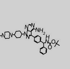 CN1CCN(C2CCC(n3nc(-c4ccc(C(NC(=O)OC(C)(C)C)c5ccccc5)cc4)c4c(N)ncnc43)CC2)CC1